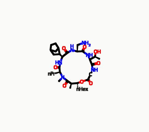 CCCCCC[C@H]1OC(=O)CNC(=O)[C@H]([C@H](C)O)NC(=O)[C@H](CN)NC(=O)[C@H](C2CC3CCC2C3)NC(=O)[C@H](CCC)N(C)C(=O)[C@@H]1C